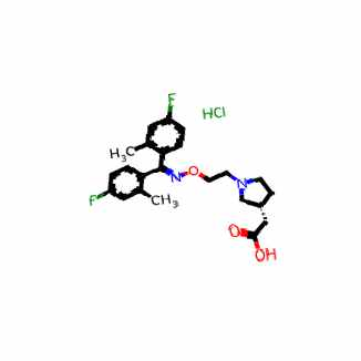 Cc1cc(F)ccc1C(=NOCCN1CC[C@H](CC(=O)O)C1)c1ccc(F)cc1C.Cl